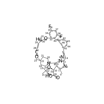 Cc1nc2cc3nn2c(c1[C@H](OC(C)(C)C)C(=O)O)N1CCC(C)(CC1)OCC=C[C@H](C)Oc1cc(F)cc(F)c1-c1cccc-3c1